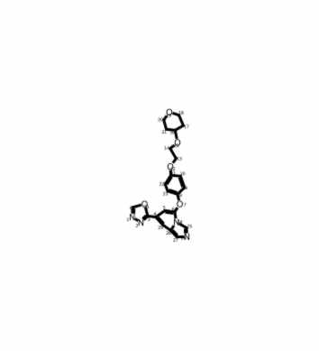 c1nnc(-c2cc(Oc3ccc(OCCOC4CCOCC4)cc3)n3cncc3c2)o1